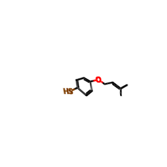 CC(C)=CCOc1ccc(S)cc1